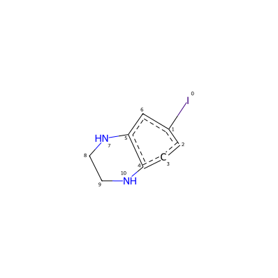 Ic1ccc2c(c1)NCCN2